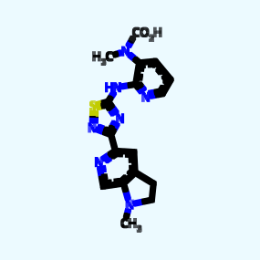 CN1CCc2cc(-c3nsc(Nc4ncccc4N(C)C(=O)O)n3)ncc21